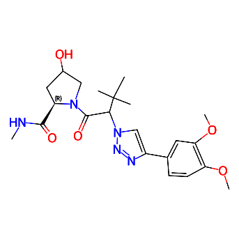 CNC(=O)[C@H]1CC(O)CN1C(=O)C(n1cc(-c2ccc(OC)c(OC)c2)nn1)C(C)(C)C